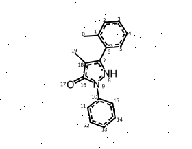 Cc1ccccc1-c1[nH]n(-c2ccccc2)c(=O)c1C